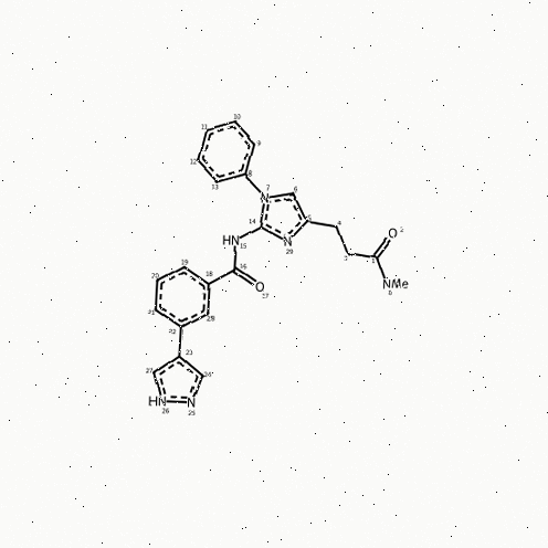 CNC(=O)CCc1cn(-c2ccccc2)c(NC(=O)c2cccc(-c3cn[nH]c3)c2)n1